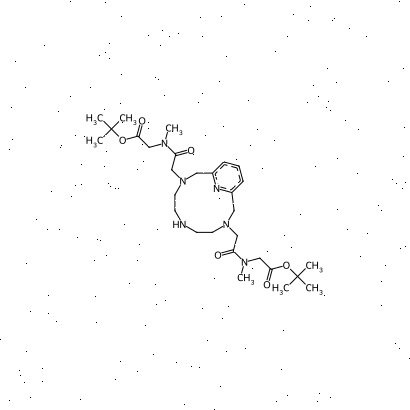 CN(CC(=O)OC(C)(C)C)C(=O)CN1CCNCCN(CC(=O)N(C)CC(=O)OC(C)(C)C)Cc2cccc(n2)C1